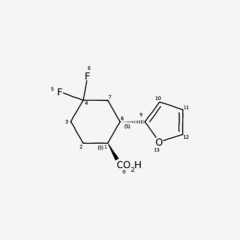 O=C(O)[C@H]1CCC(F)(F)C[C@@H]1c1ccco1